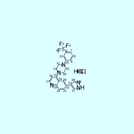 Cl.Cl.FC(F)(F)c1cccc(N2CCN(c3ccnc4ccc(-c5cn[nH]c5)cc34)CC2)c1